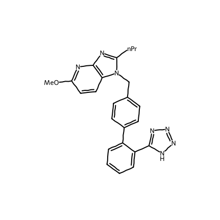 CCCc1nc2nc(OC)ccc2n1Cc1ccc(-c2ccccc2-c2nnn[nH]2)cc1